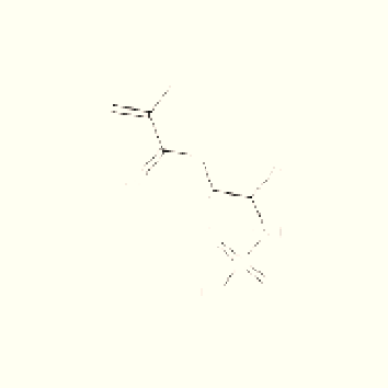 C=C(C)C(=O)OCC(C)NS(=O)(=O)C(F)(F)F